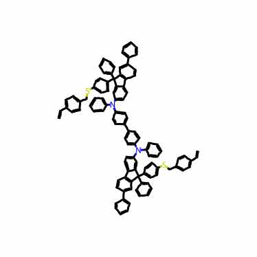 C=Cc1ccc(CSc2ccc(C3(c4ccccc4)c4cc(-c5ccccc5)ccc4-c4ccc(N(c5ccccc5)c5ccc(-c6ccc(N(c7ccccc7)c7ccc8c(c7)C(c7ccccc7)(c7ccc(SCc9ccc(C=C)cc9)cc7)c7cc(-c9ccccc9)ccc7-8)cc6)cc5)cc43)cc2)cc1